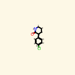 O=C1[N]CCCC1c1ccc(Cl)cc1